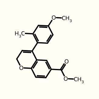 COC(=O)c1ccc2c(c1)C(c1ccc(OC)cc1C)=CCO2